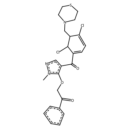 Cn1ncc(C(=O)C2=CC=C(Cl)C(CN3CCSCC3)C2Cl)c1OCC(=O)c1ccccc1